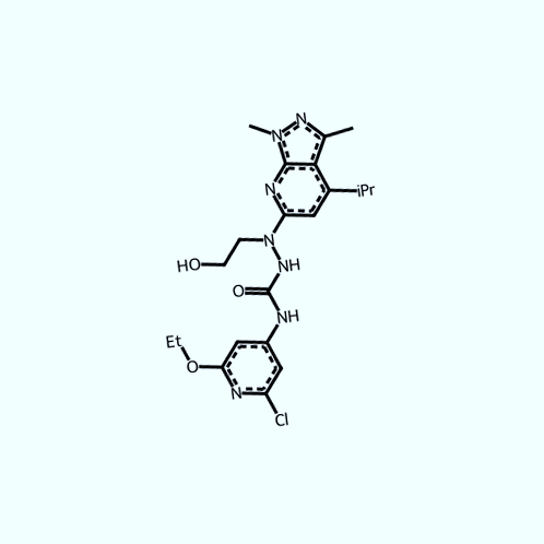 CCOc1cc(NC(=O)NN(CCO)c2cc(C(C)C)c3c(C)nn(C)c3n2)cc(Cl)n1